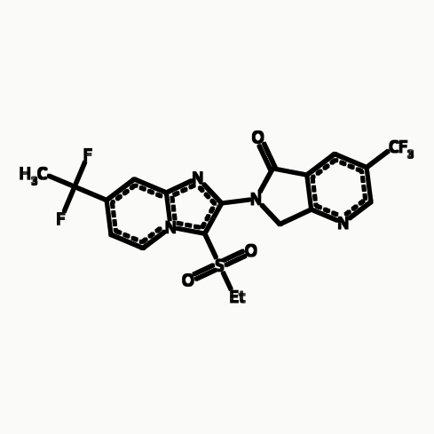 CCS(=O)(=O)c1c(N2Cc3ncc(C(F)(F)F)cc3C2=O)nc2cc(C(C)(F)F)ccn12